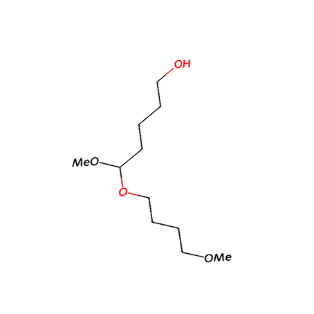 COCCCCOC(CCCCO)OC